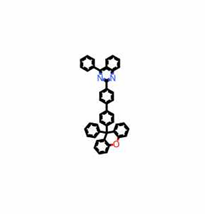 c1ccc(-c2nc(-c3ccc(-c4ccc(C5(c6ccccc6)c6ccccc6Oc6ccccc65)cc4)cc3)nc3ccccc23)cc1